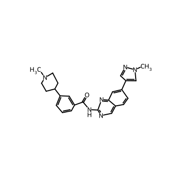 CN1CCC(c2cccc(C(=O)Nc3ncc4ccc(-c5cnn(C)c5)cc4n3)c2)CC1